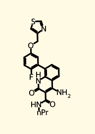 CCCNC(=O)c1c(N)c2cccc(-c3cc(OCc4cscn4)ccc3F)c2[nH]c1=O